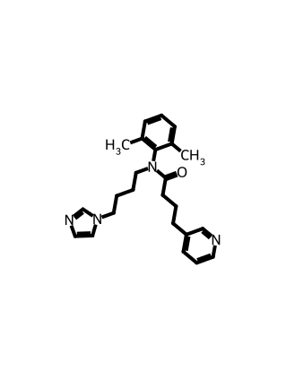 Cc1cccc(C)c1N(CCCCn1ccnc1)C(=O)CCCc1cccnc1